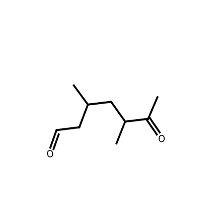 CC(=O)C(C)CC(C)CC=O